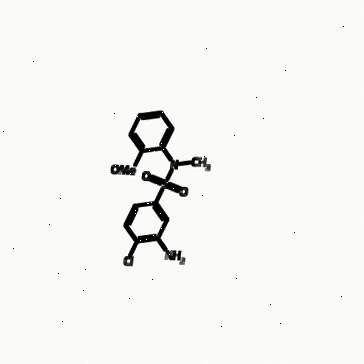 COc1ccccc1N(C)S(=O)(=O)c1ccc(Cl)c(N)c1